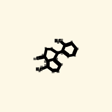 Cc1ccccc1C1CCC(=O)c2c(C)cccc21